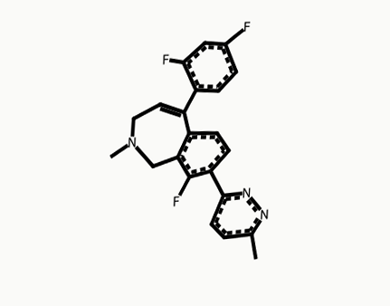 Cc1ccc(-c2ccc3c(c2F)CN(C)CC=C3c2ccc(F)cc2F)nn1